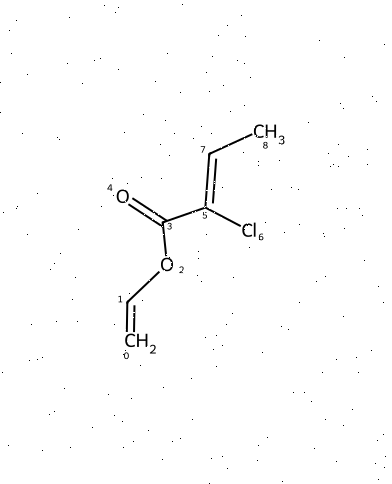 C=COC(=O)C(Cl)=CC